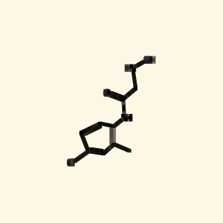 Cc1cc(Cl)ccc1NC(=O)CNO